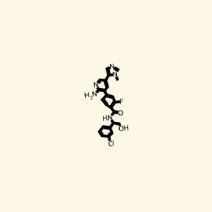 Cn1cncc1-c1cnc(N)c(-c2ccc(C(=O)NC(CO)c3cccc(Cl)c3)c(F)c2)c1